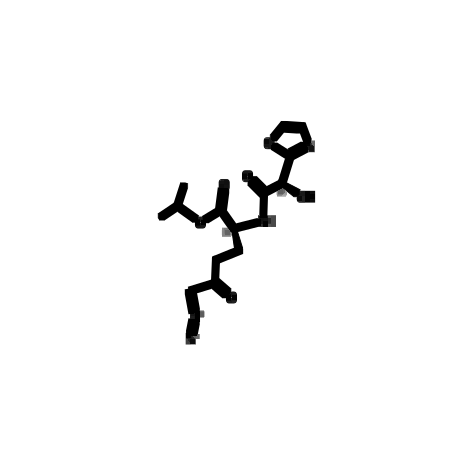 CC(C)OC(=O)[C@H](CCC(=O)C=[N+]=[N-])NC(=O)[C@H](O)c1ncco1